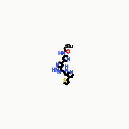 CC(C)(C)CC(=O)Nc1cncc(-c2cnc3[nH]nc(-c4cc5c(-c6cccs6)ccnc5[nH]4)c3c2)c1